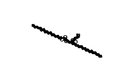 CCCCCC=CCC=CCCCCCCCCOC(=O)OCCC(CCCCCCCCC=CCC=CCCCCC)OC(=O)CCN(C)C